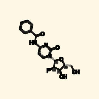 O=C(Nc1ccn([C@@H]2O[C@H](CO)[C@@H](O)[C@H]2F)c(=O)n1)c1ccccc1